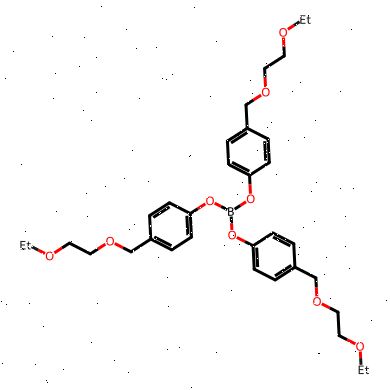 CCOCCOCc1ccc(OB(Oc2ccc(COCCOCC)cc2)Oc2ccc(COCCOCC)cc2)cc1